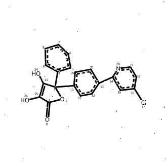 O=C1OC(c2ccccc2)(c2ccc(-c3cc(Cl)ccn3)cc2)C(O)=C1O